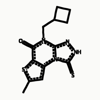 Cc1cc2c(s1)c(=O)n(CC1CCC1)c1n[nH]c(=S)n21